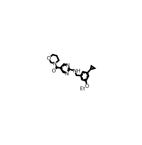 CCOc1cc(CNc2ncc(C(=O)N3CCCOC3)cn2)cc(C2CC2)c1